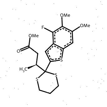 COC(=O)C[C@H](C)C1(c2cc3c(F)c(OC)c(OC)cc3s2)SCCCS1